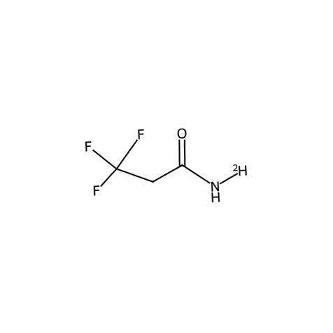 [2H]NC(=O)CC(F)(F)F